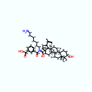 C=C(C)[C@@H]1CC[C@]2(C(=O)N(CCCCCCCN)C(=O)c3cccc(C(=O)O)c3)CC[C@]3(C)[C@H](CCC4[C@@]5(C)CC[C@H](O)C(C)(C)[C@@H]5CC[C@]43C)[C@@H]12